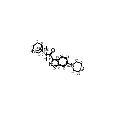 O=C(N[C@H]1CN2CCC1CC2)c1nsc2cc(N3CCOCC3)ccc12